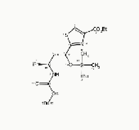 CCOC(=O)c1csc([C@@H](C[C@@H](NC(=O)OC(C)(C)C)C(C)C)O[Si](C)(C)C(C)(C)C)n1